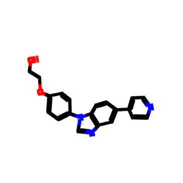 OCCOc1ccc(-n2cnc3cc(-c4ccncc4)ccc32)cc1